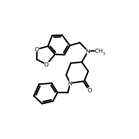 CN(Cc1ccc2c(c1)OCO2)C1CCN(Cc2ccccc2)C(=O)C1